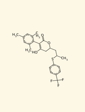 Cc1cc(C)c(C2=C(O)CC(CC(C)Sc3ccc(C(F)(F)F)cc3)OC2=O)c(C)c1